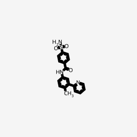 Cc1ccc(NC(=O)c2ccc(S(N)(=O)=O)cc2)cc1-c1ccccn1